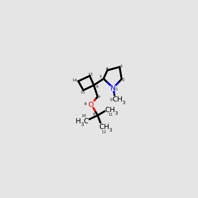 CN1CCCC1C1(COC(C)(C)C)CCC1